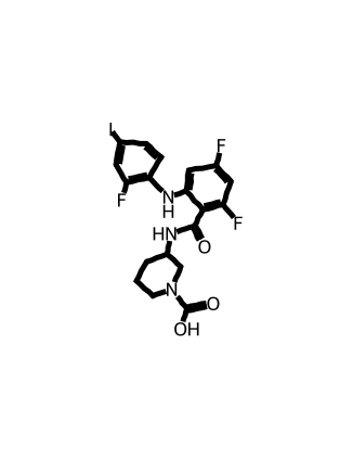 O=C(NC1CCCN(C(=O)O)C1)c1c(F)cc(F)cc1Nc1ccc(I)cc1F